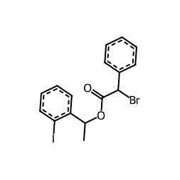 CC(OC(=O)C(Br)c1ccccc1)c1ccccc1I